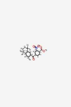 COC(=O)c1ccc(C(=O)c2cc3c(cc2C)C(C)(C)CCC3(C)C)cc1[N+](=O)[O-]